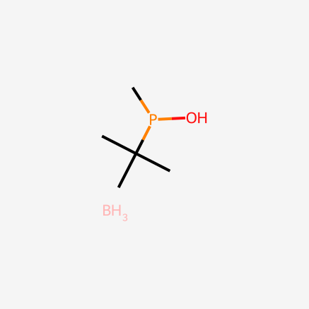 B.CP(O)C(C)(C)C